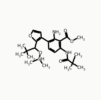 COC(=O)c1c(NC(=O)C(C)(C)C)ccc(-c2ccoc2C(O[SiH](C)C)C(C)(C)C)c1N